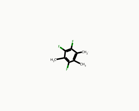 [CH2]c1c(C)c(F)c(C)c(F)c1F